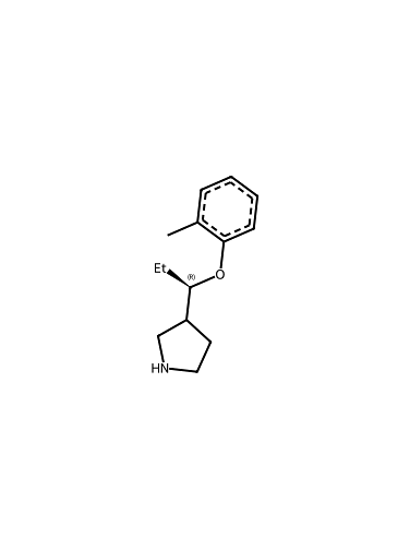 CC[C@@H](Oc1ccccc1C)C1CCNC1